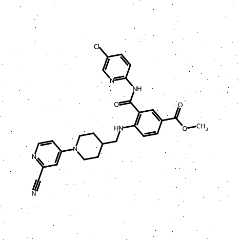 COC(=O)c1ccc(NCC2CCN(c3ccnc(C#N)c3)CC2)c(C(=O)Nc2ccc(Cl)cn2)c1